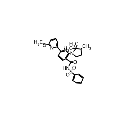 COc1cccc(-c2ccc(C(=O)NS(=O)(=O)c3ccccc3)c(N3CCC(C)C3(C)C)n2)n1